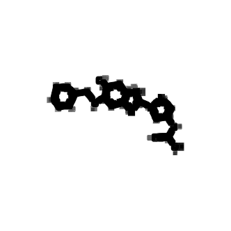 O=C(O)Oc1cnn(-c2nc3cc(OCc4ccccc4)c(Cl)cc3[nH]2)c1